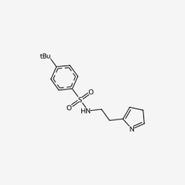 CC(C)(C)c1ccc(S(=O)(=O)NCCC2=CCC=N2)cc1